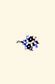 CC(C)c1nc(Nc2ccc(C(=O)N3CCN(C)CC3)cc2)nc(Nc2ccc3ncsc3c2)n1